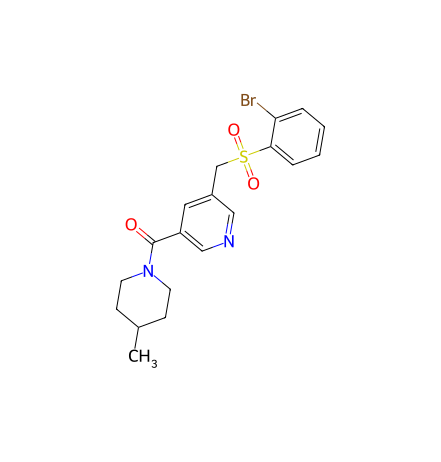 CC1CCN(C(=O)c2cncc(CS(=O)(=O)c3ccccc3Br)c2)CC1